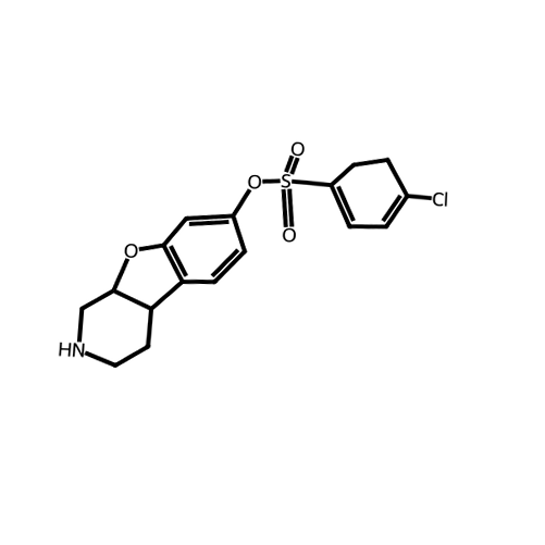 O=S(=O)(Oc1ccc2c(c1)OC1CNCCC21)C1=CC=C(Cl)CC1